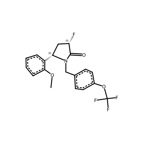 COc1ccccc1[C@@H]1C[C@H](F)C(=O)N1Cc1ccc(OC(F)(F)F)cc1